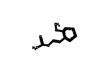 COc1ccccc1/C=C/OC(C)=O